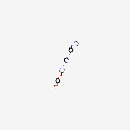 CC1CCCCN1Cc1ccc(C(=O)Nc2ccc(OC(=O)N3CCC(COc4ccc(CC(=O)O)cc4)CC3)nc2)cc1